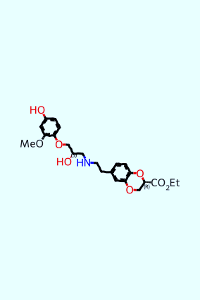 CCOC(=O)[C@H]1COc2cc(CCNC[C@H](O)COc3ccc(O)cc3OC)ccc2O1